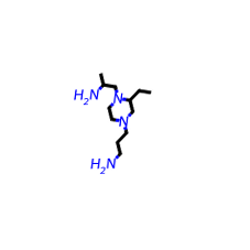 CCC1CN(CCCN)CCN1CC(C)N